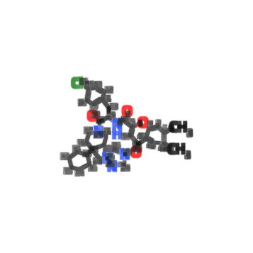 Cc1cc2oc(C(=O)N[C@H](Cc3ccc(Cl)cc3)C(=O)N3CCC(Cn4cncn4)(C4CCCCC4)CC3)cc(=O)c2cc1C